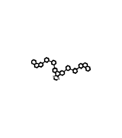 c1cc(-c2cccc(-c3ccc4c(c3)c3cc(-c5cccc(-c6cccc(-c7ccc8ccc9ccccc9c8c7)c6)c5)ccc3c3nccnc43)c2)cc(-c2ccc3ccc4ccccc4c3c2)c1